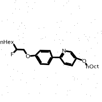 CCCCCCCCOc1ccc(-c2ccc(OCC(F)CCCCCC)cc2)nc1